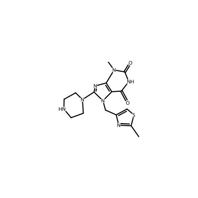 Cc1nc(Cn2c(N3CCNCC3)nc3c2c(=O)[nH]c(=O)n3C)cs1